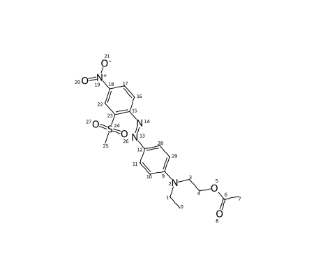 CCN(CCOC(C)=O)c1ccc(/N=N/c2ccc([N+](=O)[O-])cc2S(C)(=O)=O)cc1